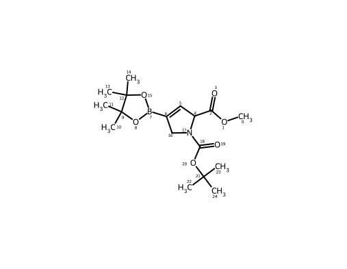 COC(=O)C1C=C(B2OC(C)(C)C(C)(C)O2)CN1C(=O)OC(C)(C)C